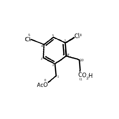 CC(=O)OCc1cc(Cl)cc(Cl)c1CC(=O)O